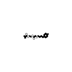 C=C(C)C(=O)OCCOC(=O)CSCCCCc1ccc(C)cc1